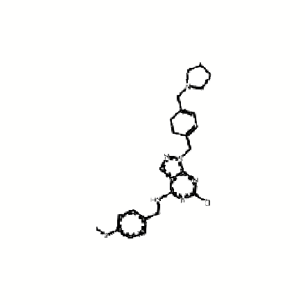 COc1ccc(CNc2nc(Cl)nc3c2cnn3CC2=CC=C(CN3CCCC3)CC2)cc1